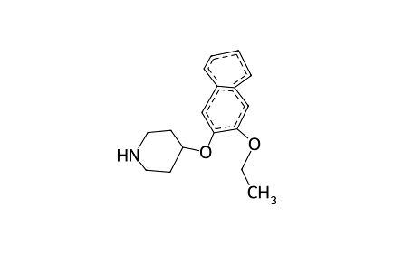 CCOc1cc2ccccc2cc1OC1CCNCC1